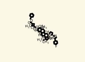 C=C(C)[C@@H]1CC[C@]2(C(=O)N3CCC[C@H]3c3ncc(-c4ccc(F)cc4)[nH]3)CC[C@]3(C)[C@H](CC[C@@H]4[C@@]5(C)CC[C@H](OC(=O)C6CC(C(=O)OCc7ccccc7)C6(C)C)C(C)(C)[C@@H]5CC[C@]43C)[C@@H]12